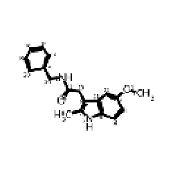 COc1ccc2[nH]c(C)c(CC(=O)NCc3ccccc3)c2c1